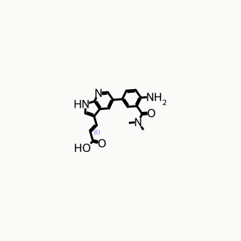 CN(C)C(=O)c1cc(-c2cnc3[nH]cc(/C=C/C(=O)O)c3c2)ccc1N